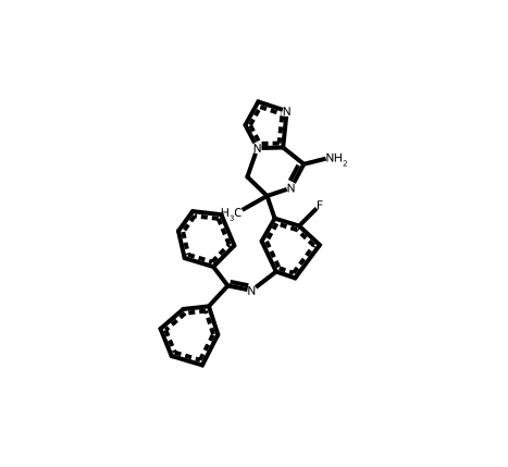 CC1(c2cc(N=C(c3ccccc3)c3ccccc3)ccc2F)Cn2ccnc2C(N)=N1